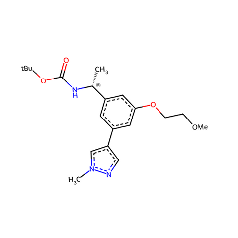 COCCOc1cc(-c2cnn(C)c2)cc([C@@H](C)NC(=O)OC(C)(C)C)c1